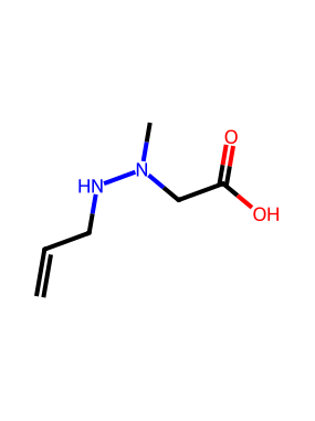 C=CCNN(C)CC(=O)O